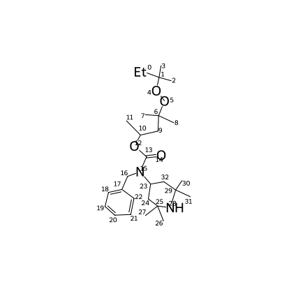 CCC(C)(C)OOC(C)(C)CC(C)OC(=O)N(Cc1ccccc1)C1CC(C)(C)NC(C)(C)C1